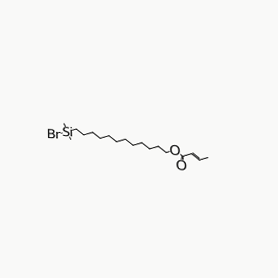 CC=CC(=O)OCCCCCCCCCCCC[Si](C)(C)Br